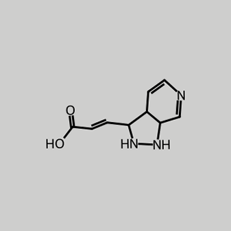 O=C(O)/C=C/C1NNC2C=NC=CC21